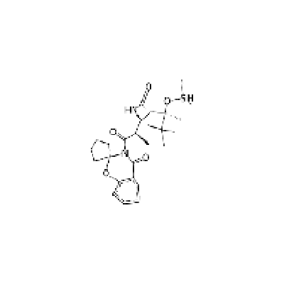 C[C@@H](C(=O)N1C(=O)c2ccccc2OC12CCCC2)[C@H]1NC(=O)[C@@H]1[C@@](C)(O[SiH](C)C)C(C)(C)C